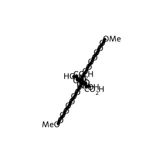 COCCOCCOCCOCCOCCOCCOCCOCCCNc1nc(C(=O)N[C@H](CO)C(=O)O)c(NCCCOCCOCCOCCOCCOCCOCCOCCOC)nc1C(=O)N[C@H](CO)C(=O)O